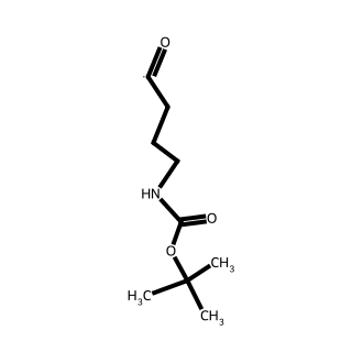 CC(C)(C)OC(=O)NCCC[C]=O